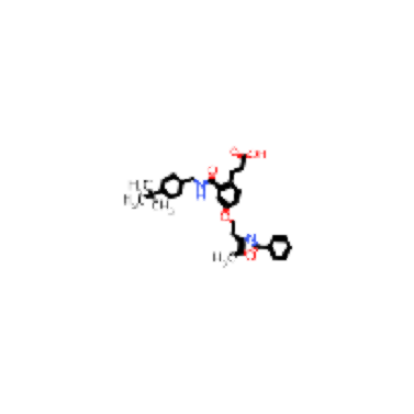 Cc1oc(-c2ccccc2)nc1CCOc1ccc(CCC(=O)O)c(C(=O)NCc2ccc(C(C)(C)C)cc2)c1